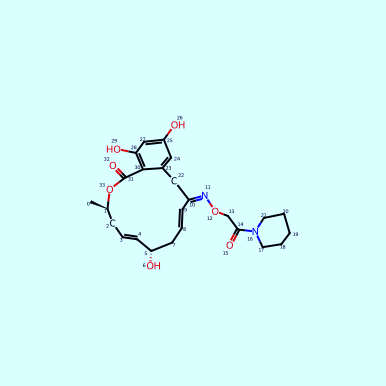 C[C@@H]1C/C=C/[C@@H](O)C/C=C/C(=N\OCC(=O)N2CCCCC2)Cc2cc(O)cc(O)c2C(=O)O1